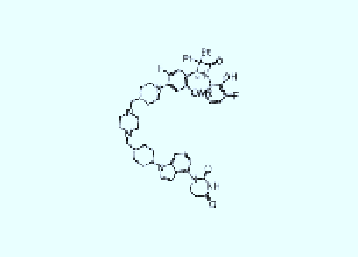 CCC1(CC)C(=O)N(c2cccc(F)c2O)[C@H]1c1cc(F)c(N2CCC(CN3CCN(CC4CCC(n5ccc6c(N7CCC(=O)NC7=O)cccc65)CC4)CC3)CC2)cc1OC